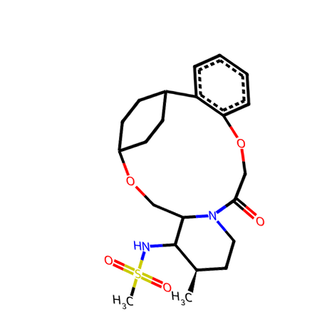 C[C@@H]1CCN2C(=O)COc3ccccc3C3CCC(CC3)OCC2C1NS(C)(=O)=O